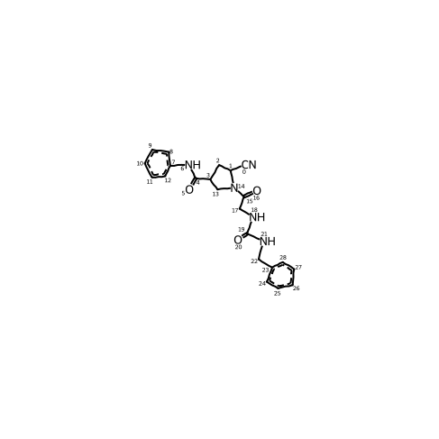 N#CC1CC(C(=O)Nc2ccccc2)CN1C(=O)CNC(=O)NCc1ccccc1